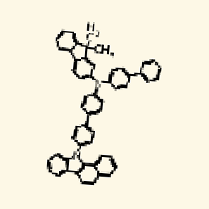 CC1(C)c2ccccc2-c2ccc(N(c3ccc(-c4ccccc4)cc3)c3ccc(-c4ccc(-n5c6ccccc6c6ccc7ccccc7c65)cc4)cc3)cc21